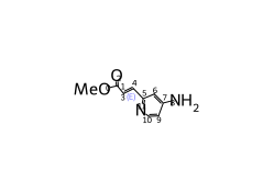 COC(=O)/C=C/c1cc(N)ccn1